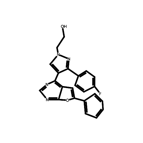 OCCn1cc(-c2ncnc3oc(-c4ccccc4)cc23)c(-c2ccc(F)cc2)n1